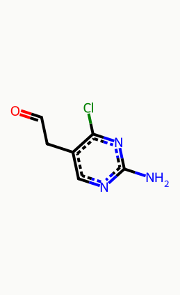 Nc1ncc(CC=O)c(Cl)n1